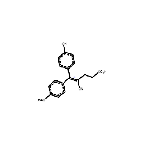 COc1ccc(/C(=C(\C#N)CCC(=O)O)c2ccc(O)cc2)cc1